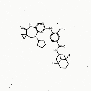 COc1cc(C(=O)N[C@@H]2C[C@H]3CCC[C@@H](C2)N3C)ccc1Nc1ncc2c(n1)N(C1CCCC1)CC1(CC1)C(=O)N2